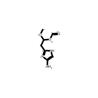 COC(Cc1nc(N)c[nH]1)OC=O